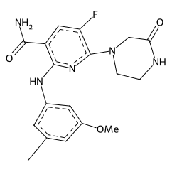 COc1cc(C)cc(Nc2nc(N3CCNC(=O)C3)c(F)cc2C(N)=O)c1